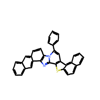 [c]1ccc(-c2cc3c(sc4ccc5ccccc5c43)c3nc4c5cc6ccccc6cc5ccc4n23)cc1